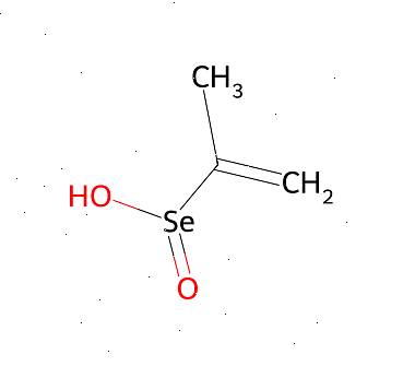 C=C(C)[Se](=O)O